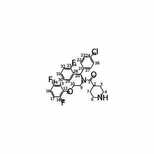 O=C(C1CCNCC1)N(CCOc1cc(F)ccc1F)[C@H](c1ccc(Cl)cc1)c1ccccc1F